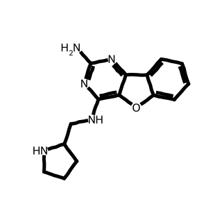 Nc1nc(NCC2CCCN2)c2oc3ccccc3c2n1